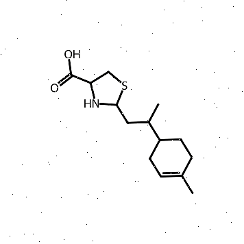 CC1=CCC(C(C)CC2NC(C(=O)O)CS2)CC1